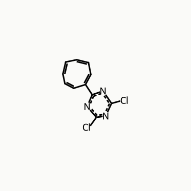 Clc1nc(Cl)nc(C2=C/C=C\C=C/C=C\2)n1